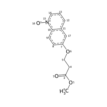 COC(=O)CCOc1ccc2c(ccc[n+]2[O-])c1